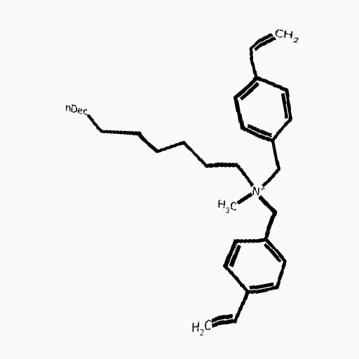 C=Cc1ccc(C[N+](C)(CCCCCCCCCCCCCCCC)Cc2ccc(C=C)cc2)cc1